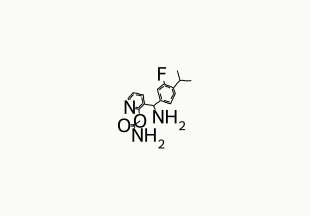 CC(C)c1ccc(C(N)c2cccnc2OC(N)=O)cc1F